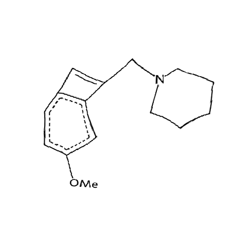 COc1ccc2c(c1)C(CN1CCCCC1)=C2